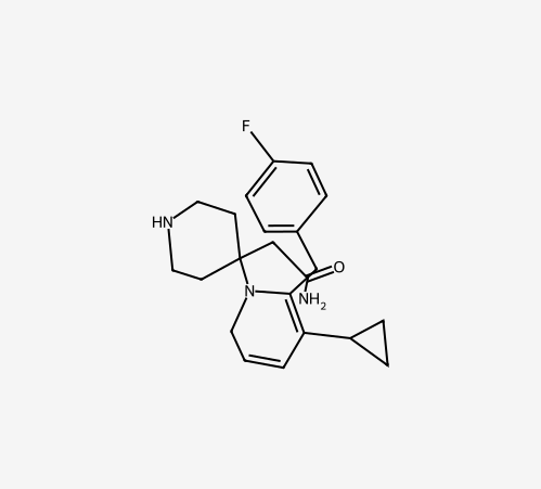 NC(=O)CC1(N2CC=CC(C3CC3)=C2Cc2ccc(F)cc2)CCNCC1